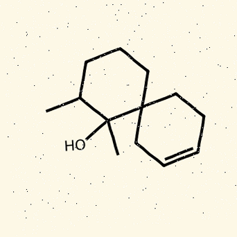 CC1CCCC2(CC=CCC2)C1(C)O